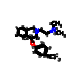 CN(C)CCN1Cc2ccccc2C(Oc2ccc(C(F)(F)F)cc2)C1